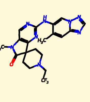 Cc1cc2ncnn2cc1Nc1ncc2c(n1)C1(CCN(CC(F)(F)F)CC1)C(=O)N2C